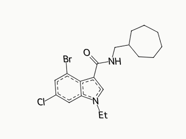 CCn1cc(C(=O)NCC2CCCCCC2)c2c(Br)cc(Cl)cc21